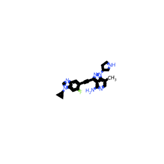 Cc1cnc(N)c2c(C#Cc3cc4ncn(C5CC5)c4cc3F)nn(C3CCNC3)c12